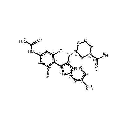 CC(=O)Nc1cc(F)c(-c2nc3cc(C)ccn3c2C[C@H]2CN(C(=O)O)CCO2)c(F)c1